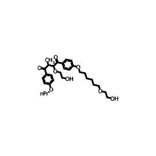 CCCOc1ccc(C(=O)C(C)C(OCCO)C(=O)c2ccc(OCCCCCCOCCO)cc2)cc1